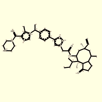 C=C[C@@]1(C)CC(C)C2CCC(=O)C2[C@@](C)(C(C)CC)C(OC(=O)Cn2cc(-c3ccc(C(C)n4cnc(C(=N)N5CCNCC5)c4C)cc3)nn2)C1